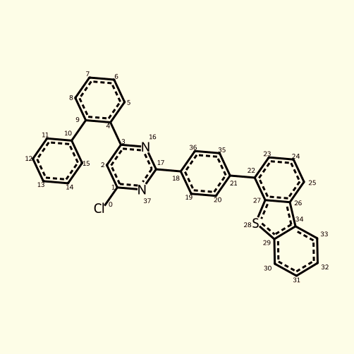 Clc1cc(-c2ccccc2-c2ccccc2)nc(-c2ccc(-c3cccc4c3sc3ccccc34)cc2)n1